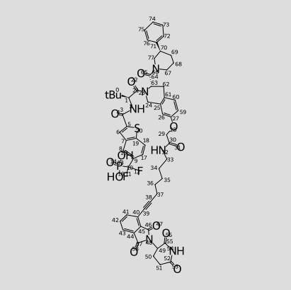 CC(C)(C)[C@H](NC(=O)c1cc2cc(C(F)(F)P(=O)(O)O)ccc2s1)C(=O)N1Cc2cc(OCC(=O)NCCCCCC#Cc3cccc4c3C(=O)N(C3CCC(=O)NC3=O)C4=O)ccc2C[C@H]1C(=O)N1CCC[C@H](c2ccccc2)C1